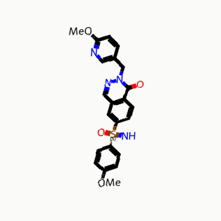 COc1ccc([S@](=N)(=O)c2ccc3c(=O)n(Cc4ccc(OC)nc4)ncc3c2)cc1